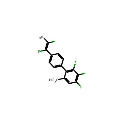 CCCC(F)=C(F)c1ccc(-c2c(C(=O)O)cc(F)c(F)c2F)cc1